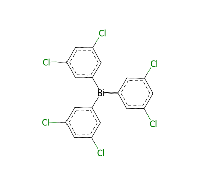 Clc1cc(Cl)c[c]([Bi]([c]2cc(Cl)cc(Cl)c2)[c]2cc(Cl)cc(Cl)c2)c1